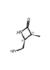 CCCC[C@H]1NC(=O)[C@H]1C